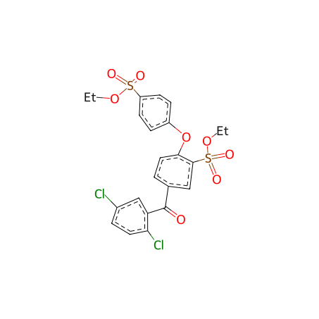 CCOS(=O)(=O)c1ccc(Oc2ccc(C(=O)c3cc(Cl)ccc3Cl)cc2S(=O)(=O)OCC)cc1